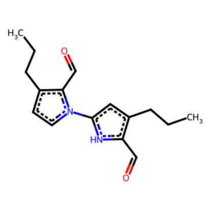 CCCc1cc(-n2ccc(CCC)c2C=O)[nH]c1C=O